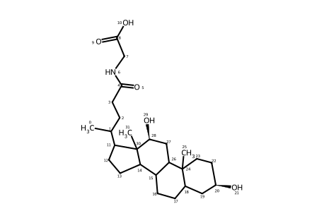 CC(CCC(=O)NCC(=O)O)C1CCC2C3CCC4C[C@H](O)CCC4(C)C3C[C@H](O)C12C